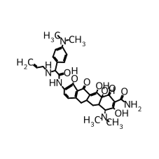 C=CCNC(C(=O)Nc1ccc2c(c1O)C(=O)C1=C(O)C3(O)C(=O)C(C(N)=O)=C(O)[C@@H](N(C)C)C3CC1C2)c1ccc(N(C)C)cc1